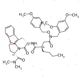 CCCC[C@H](CC(=O)N(Cc1ccc(OC)cc1OC)OCc1ccc(OC)cc1)C(=O)N[C@@H](Cc1csc2ccccc12)C(=O)N1CCC[C@H]1C(=O)N(C)C